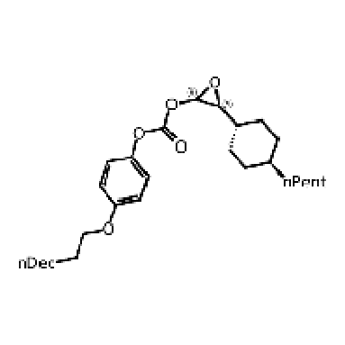 CCCCCCCCCCCCOc1ccc(OC(=O)O[C@H]2O[C@H]2[C@H]2CC[C@H](CCCCC)CC2)cc1